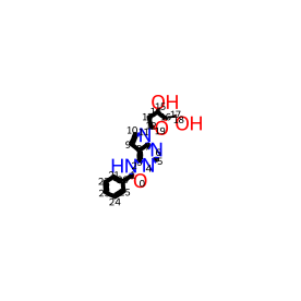 O=C(Nc1ncnc2c1ccn2[C@H]1C[C@@H](O)[C@@H](CO)O1)c1ccccc1